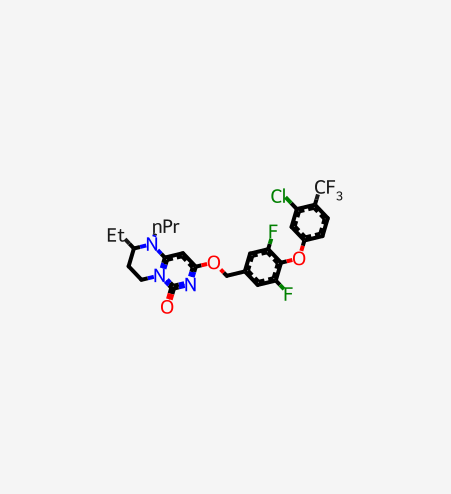 CCCN1c2cc(OCc3cc(F)c(Oc4ccc(C(F)(F)F)c(Cl)c4)c(F)c3)nc(=O)n2CCC1CC